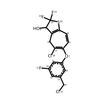 OC1C2=C(C=CC(Oc3cc(F)cc(CCl)c3)=C(Cl)C2)SC1(F)F